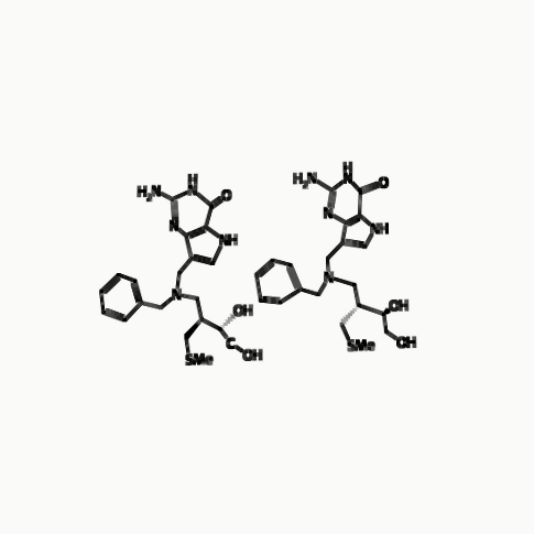 CSC[C@@H](CN(Cc1ccccc1)Cc1c[nH]c2c(=O)[nH]c(N)nc12)[C@H](O)CO.CSC[C@H](CN(Cc1ccccc1)Cc1c[nH]c2c(=O)[nH]c(N)nc12)[C@@H](O)CO